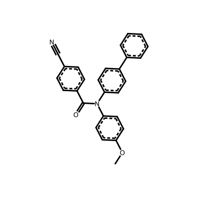 COc1ccc(N(C(=O)c2ccc(C#N)cc2)c2ccc(-c3ccccc3)cc2)cc1